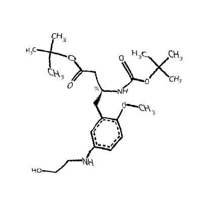 COc1ccc(NCCO)cc1C[C@@H](CC(=O)OC(C)(C)C)NC(=O)OC(C)(C)C